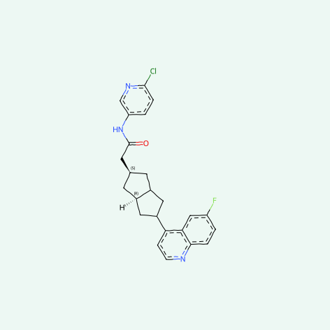 O=C(C[C@H]1CC2CC(c3ccnc4ccc(F)cc34)C[C@H]2C1)Nc1ccc(Cl)nc1